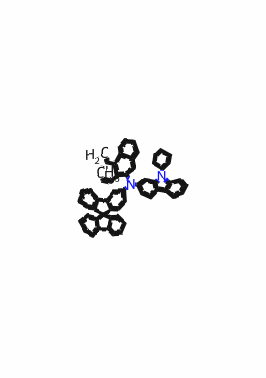 C=Cc1c(/C=C\C)c(N(c2ccc3c(c2)-c2ccccc2C32c3ccccc3-c3ccccc32)c2ccc3c4ccccc4n(-c4ccccc4)c3c2)cc2ccccc12